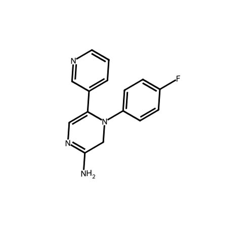 NC1=NC=C(c2cccnc2)N(c2ccc(F)cc2)C1